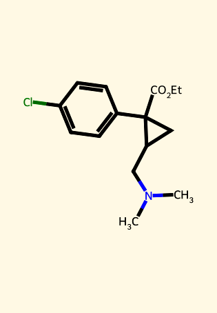 CCOC(=O)C1(c2ccc(Cl)cc2)CC1CN(C)C